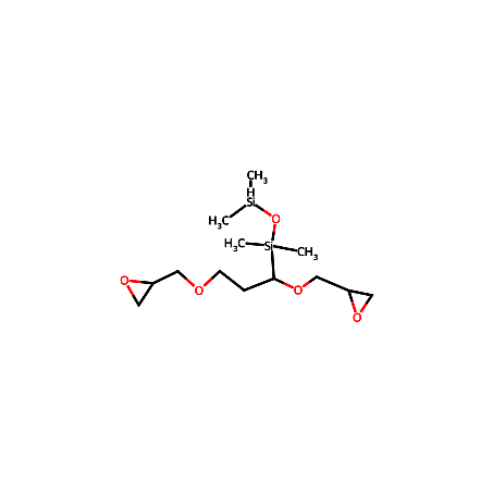 C[SiH](C)O[Si](C)(C)C(CCOCC1CO1)OCC1CO1